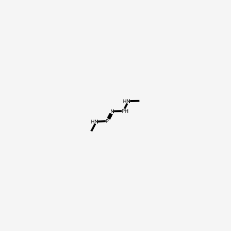 CNP=NPNC